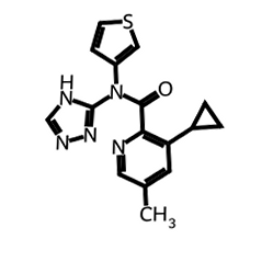 Cc1cnc(C(=O)N(c2ccsc2)c2nnc[nH]2)c(C2CC2)c1